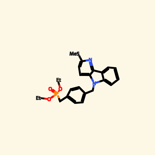 CCOP(=O)(Cc1ccc(Cn2c3ccccc3c3nc(SC)ccc32)cc1)OCC